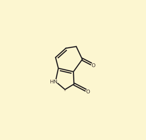 O=C1[C]NC2=C1C(=O)CC=C2